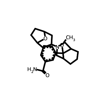 COC1(c2cccc(C(N)=O)c2)C2CCCC1CN(C1CC3CCC(C1)O3)C2